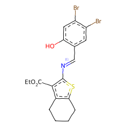 CCOC(=O)c1c(/N=C/c2cc(Br)c(Br)cc2O)sc2c1CCCC2